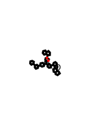 c1ccc(-c2cccc(-c3ccc(N(c4ccc(-c5cccc6ccccc56)cc4)c4cccc(-c5cccc6oc7c8ccccc8ccc7c56)c4)cc3)c2)cc1